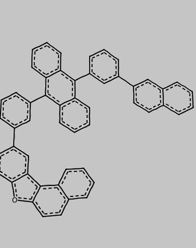 c1cc(-c2ccc3ccccc3c2)cc(-c2c3ccccc3c(-c3cccc(-c4ccc5oc6ccc7ccccc7c6c5c4)c3)c3ccccc23)c1